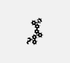 C=C/C(=C\C=C/C)n1c2ccccc2c2cc(-n3c4ccccc4c4cc(-c5ccc6c(c5)c5ccccc5n6-c5ncccn5)ccc43)ccc21